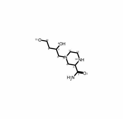 NC(=O)C1CN(CC(O)CC[O])CCN1